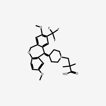 COc1ccc2c(c1)C(=C1CCN(CC(C)(C)C(=O)O)CC1)c1cc(C(F)(F)F)c(OC)cc1CO2